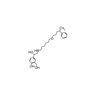 CC(CCCOCCCCCCNCC(O)c1ccc(O)c(CO)c1)c1ccccc1